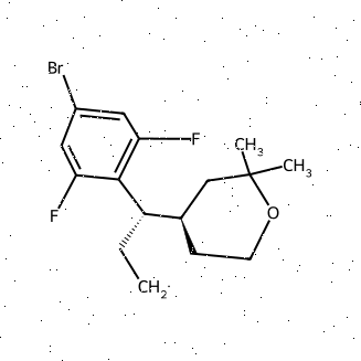 [CH2]C[C@H](c1c(F)cc(Br)cc1F)[C@@H]1CCOC(C)(C)C1